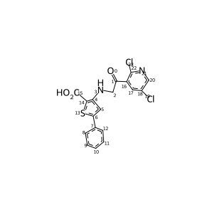 O=C(CNc1cc(-c2ccccc2)sc1C(=O)O)c1cc(Cl)cnc1Cl